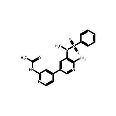 CC(=O)Nc1cc(-c2cnc(C)c(N(C)S(=O)(=O)c3ccccc3)c2)ccn1